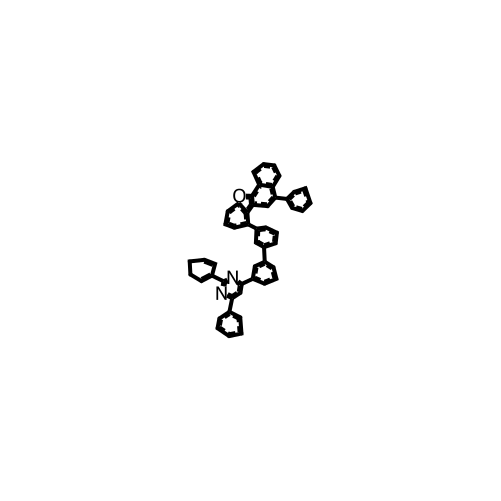 C1=CC(c2nc(-c3ccccc3)cc(-c3cccc(-c4cccc(-c5cccc6oc7c8ccccc8c(-c8ccccc8)cc7c56)c4)c3)n2)=CCC1